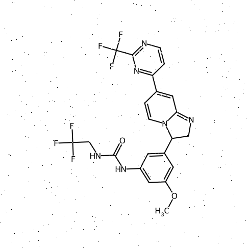 COc1cc(NC(=O)NCC(F)(F)F)cc(C2CN=C3C=C(c4ccnc(C(F)(F)F)n4)C=CN32)c1